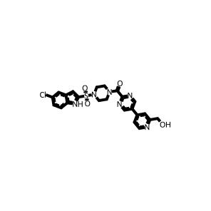 O=C(c1ncc(-c2ccnc(CO)c2)cn1)N1CCN(S(=O)(=O)c2cc3cc(Cl)ccc3[nH]2)CC1